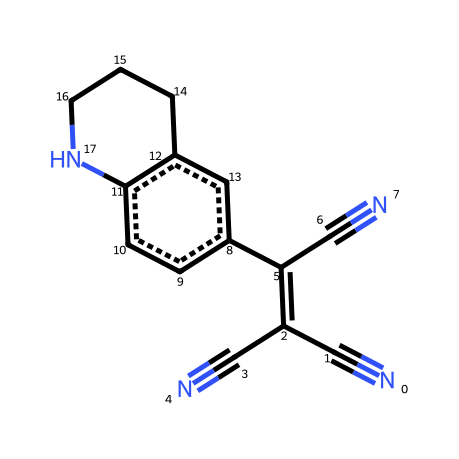 N#CC(C#N)=C(C#N)c1ccc2c(c1)CCCN2